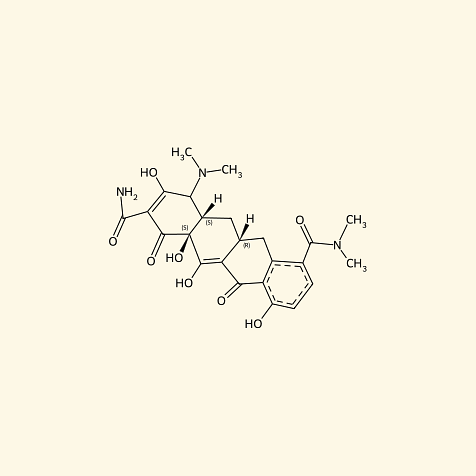 CN(C)C(=O)c1ccc(O)c2c1C[C@H]1C[C@H]3C(N(C)C)C(O)=C(C(N)=O)C(=O)[C@@]3(O)C(O)=C1C2=O